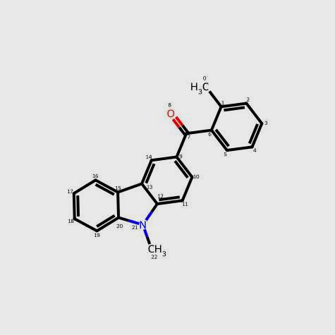 Cc1ccccc1C(=O)c1ccc2c(c1)c1ccccc1n2C